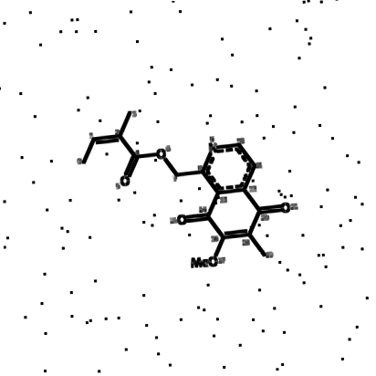 C/C=C(/C)C(=O)OCc1nccc2c1C(=O)C(OC)=C(C)C2=O